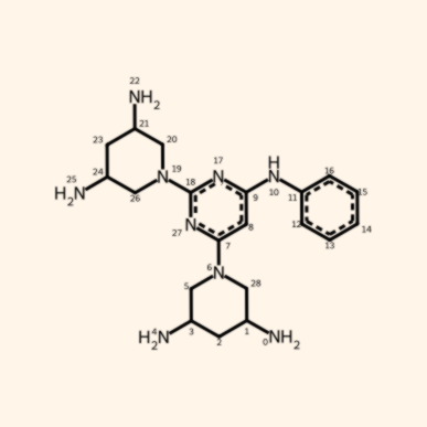 NC1CC(N)CN(c2cc(Nc3ccccc3)nc(N3CC(N)CC(N)C3)n2)C1